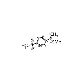 CSC(C)c1cnc(C(C)(F)F)nc1